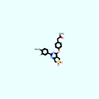 COC(=O)Cc1ccc(Oc2nc(-c3ccc(OC)c(F)c3)nc3c2CS(=O)(=O)C3)cc1